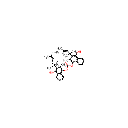 CC(C)=CC(C)(C)c1c(C)c(OC(=O)Oc2c(C)c(C(C)(C)C/C=C(\C)CC(C)C)c(O)c3ccccc23)c2ccccc2c1O